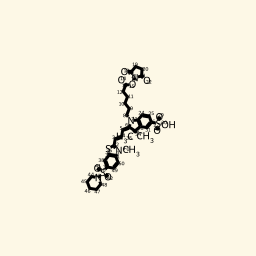 C[n+]1c(/C=C/C=C2/N(CCCCCC(=O)ON3C(=O)CCC3=O)c3ccc(S(=O)(=O)O)cc3C2(C)C)sc2cc(S(=O)(=O)N3CCCCC3)ccc21